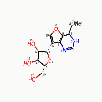 CSC1NC=Nc2c([C@@H]3O[C@H](CO)[C@@H](O)[C@H]3O)coc21